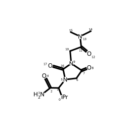 CC(C)C(C(N)=O)N1CC(=O)N(CC(=O)N(C)C)C1=O